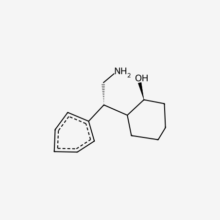 NC[C@@H](c1ccccc1)C1CCCC[C@@H]1O